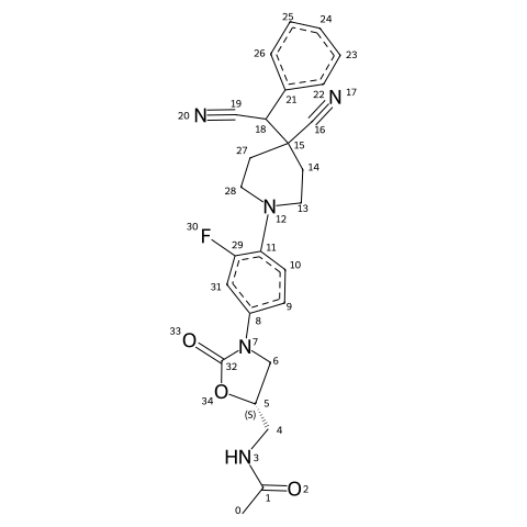 CC(=O)NC[C@H]1CN(c2ccc(N3CCC(C#N)(C(C#N)c4ccccc4)CC3)c(F)c2)C(=O)O1